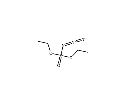 CCOP(=O)(N=[N+]=[N-])OCC